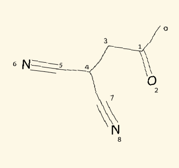 CC(=O)CC(C#N)C#N